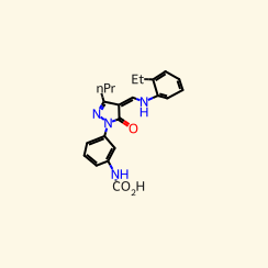 CCCC1=NN(c2cccc(NC(=O)O)c2)C(=O)C1=CNc1ccccc1CC